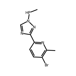 CPn1cnc(-c2ccc(Br)c(C)n2)n1